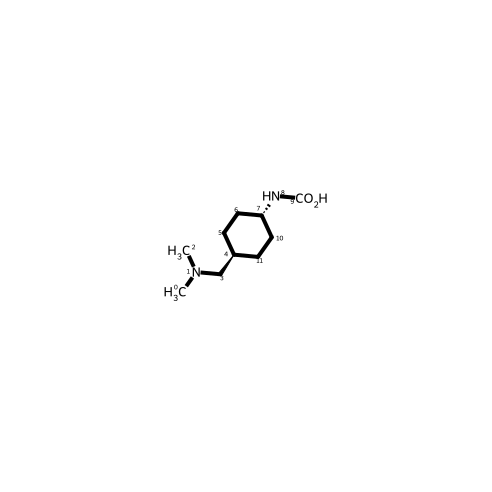 CN(C)C[C@H]1CC[C@H](NC(=O)O)CC1